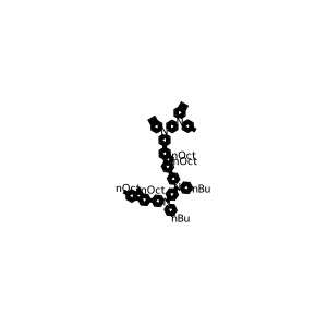 CCCCCCCCC1(CCCCCCCC)c2cc(C)ccc2-c2ccc(-c3ccc(N(c4ccc(CCCC)cc4)c4ccc(N(c5ccc(CCCC)cc5)c5ccc(-c6ccc7c(c6)C(CCCCCCCC)(CCCCCCCC)c6cc(-c8ccc(N(c9ccc(N(c%10ccc(C)cc%10)c%10ccc%11c(c%10)CC%11)cc9)c9ccc%10c(c9)CC%10)cc8)ccc6-7)cc5)cc4)cc3)cc21